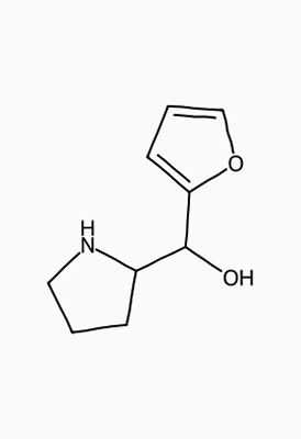 OC(c1ccco1)C1CCCN1